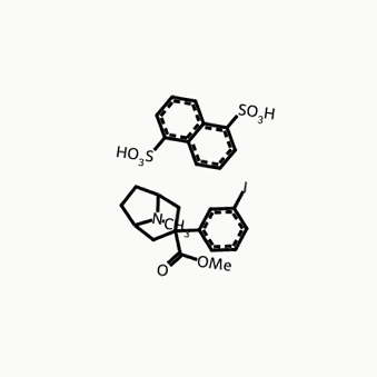 COC(=O)C1(c2cccc(I)c2)CC2CCC(C1)N2C.O=S(=O)(O)c1cccc2c(S(=O)(=O)O)cccc12